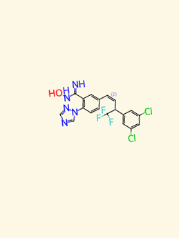 N=C(NO)c1cc(/C=C\C(c2cc(Cl)cc(Cl)c2)C(F)(F)F)ccc1-n1cncn1